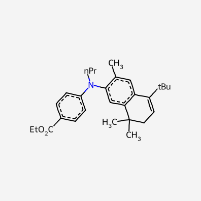 CCCN(c1ccc(C(=O)OCC)cc1)c1cc2c(cc1C)C(C(C)(C)C)=CCC2(C)C